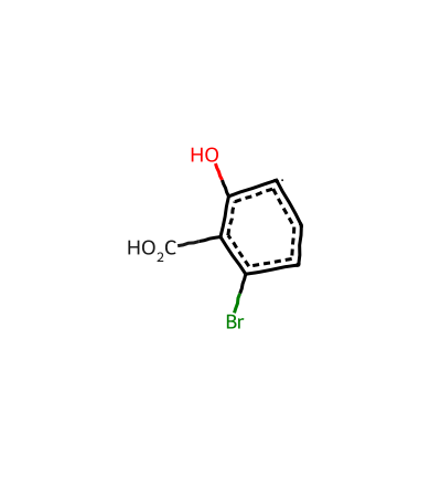 O=C(O)c1c(O)[c]ccc1Br